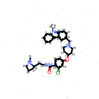 CCn1c2ccccc2c2cc(CN3CCC(Oc4ccc(C(=O)NCCC5CCCN5C)c(Cl)c4)CC3)ccc21